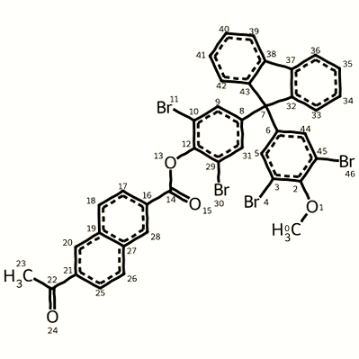 COc1c(Br)cc(C2(c3cc(Br)c(OC(=O)c4ccc5cc(C(C)=O)ccc5c4)c(Br)c3)c3ccccc3-c3ccccc32)cc1Br